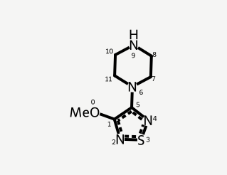 COc1nsnc1N1CCNCC1